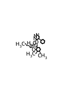 CCCCCCOc1c(O)ccc(CC)c1CC.COc1nnncc1-c1ccccc1